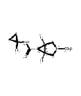 O=C(NC1(C(F)(F)F)CC1)[C@@H]1[C@@H]2CN(C(=O)O)C[C@@H]21